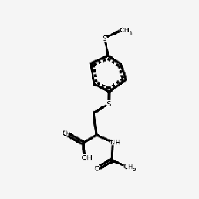 CSc1ccc(SCC(NC(C)=O)C(=O)O)cc1